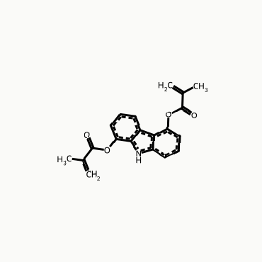 C=C(C)C(=O)Oc1cccc2c1[nH]c1cccc(OC(=O)C(=C)C)c12